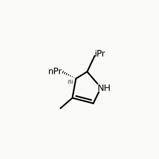 CCC[C@H]1C(C)=CNC1C(C)C